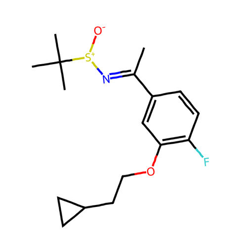 CC(=N[S+]([O-])C(C)(C)C)c1ccc(F)c(OCCC2CC2)c1